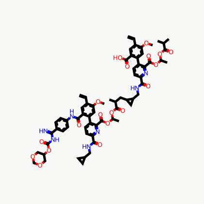 C=Cc1cc(C(=O)O)c(-c2ccc(C(=O)NCC3CC3CC(C)C(=O)OC(C)OC(=O)c3nc(C(=O)NCC4CC4)ccc3-c3cc(OC)c(C=C)cc3C(=O)Nc3ccc(C(=N)NC(=O)OC4COCOC4)cc3)nc2C(=O)OC(C)OC(=O)C(C)C)cc1OC